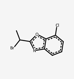 CC(Br)c1nc2cccc(Cl)c2o1